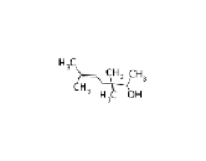 CC(C)=CCC(C)(C)C(C)O